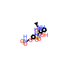 CS(=O)(=O)NCCOc1ccc2c(c1)S(=O)(=O)N=C(c1c(O)c3ccccc3n(NCC3CC3)c1=O)N2